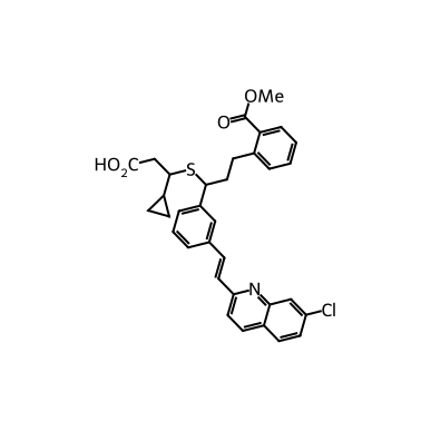 COC(=O)c1ccccc1CCC(SC(CC(=O)O)C1CC1)c1cccc(C=Cc2ccc3ccc(Cl)cc3n2)c1